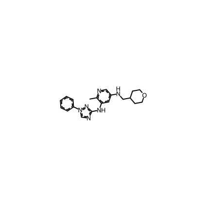 Cc1ncc(NCC2CCOCC2)cc1Nc1ncn(-c2ccccc2)n1